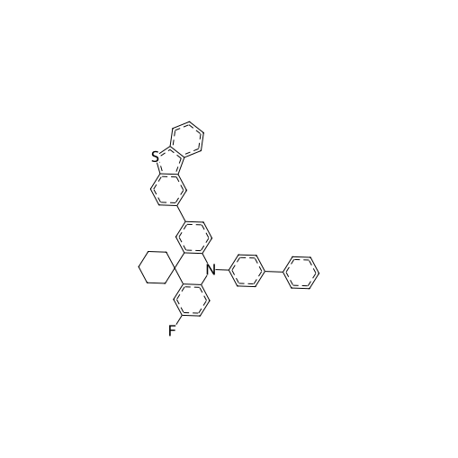 Fc1ccc2c(c1)C1(CCCCC1)c1cc(-c3ccc4sc5ccccc5c4c3)ccc1N2c1ccc(-c2ccccc2)cc1